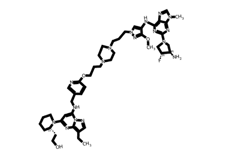 CCc1cnn2c(NCc3ccc(OCCCN4CCN(CCCn5cc(Nc6nc(N7C[C@@H](N)[C@H](F)C7)nc7c6ncn7C)c(OC)n5)CC4)nc3)cc(N3CCCC[C@H]3CCO)nc12